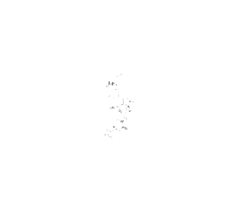 [2H]c1cc(-c2ccc3nnn(CCF)c3c2)c2c(OC)nc(N[C@@H]3CCN(C4COC4)C[C@H]3F)nn12